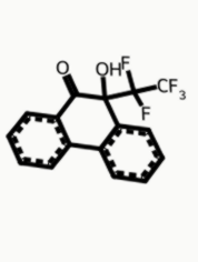 O=C1c2ccccc2-c2ccccc2C1(O)C(F)(F)C(F)(F)F